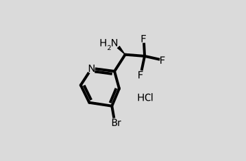 Cl.N[C@H](c1cc(Br)ccn1)C(F)(F)F